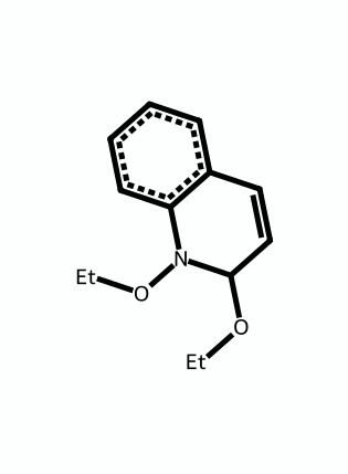 CCOC1C=Cc2ccccc2N1OCC